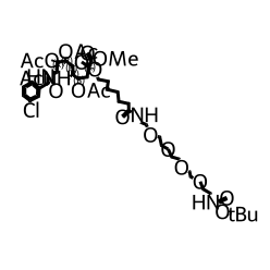 COC(=O)[C@@]1(OCCCCCCC(=O)NCCOCCOCCOCCOCCNC(=O)OC(C)(C)C)C[C@H](OC(C)=O)[C@@H](NC(C)=O)[C@H]([C@H](OC(C)=O)[C@@H](CNC(=O)c2cccc(Cl)c2)OC(C)=O)O1